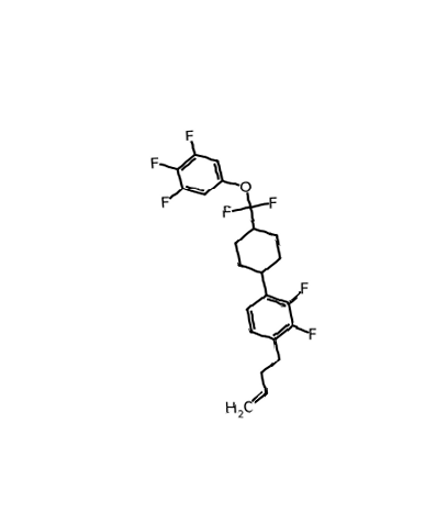 C=CCCc1ccc(C2CCC(C(F)(F)Oc3cc(F)c(F)c(F)c3)CC2)c(F)c1F